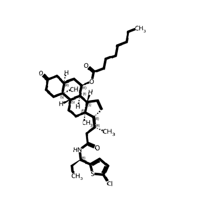 CCCCCCCC(=O)O[C@@H]1C[C@@H]2CC(=O)CC[C@]2(C)[C@H]2CC[C@]3(C)[C@@H]([C@H](C)CC(=O)N[C@H](CC)c4ccc(Cl)s4)CC[C@H]3[C@H]12